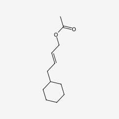 CC(=O)OC/C=C/CC1CCCCC1